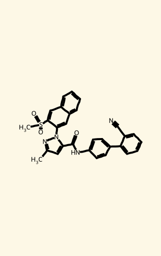 Cc1cc(C(=O)Nc2ccc(-c3ccccc3C#N)cc2)n(-c2cc3ccccc3cc2S(C)(=O)=O)n1